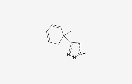 CC1(c2c[nH]nn2)C=CC=CC1